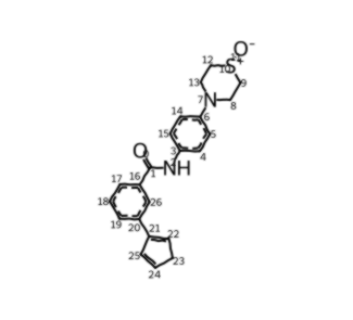 O=C(Nc1ccc(N2CC[S+]([O-])CC2)cc1)c1cccc(C2=CCC=C2)c1